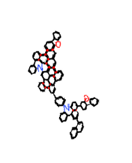 c1ccc(-c2cc(-c3ccc(N(c4ccc(-c5ccc6c(c5)oc5ccccc56)cc4)c4ccccc4-c4cccc(-c5cccc6ccccc56)c4)cc3)cc(-c3cccc(-c4ccc5c(-c6cccc(-c7ccccc7N(c7ccc(-c8ccc9c(c8)oc8ccccc89)cc7)c7cc8ccccc8c8ccccc78)c6)cccc5c4)c3)c2)cc1